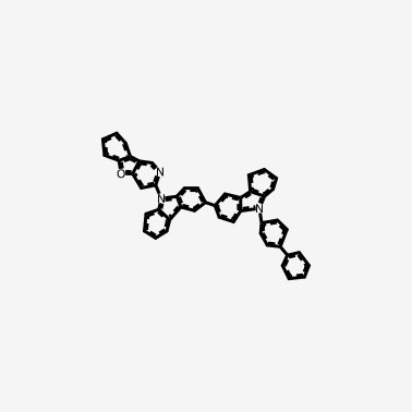 c1ccc(-c2ccc(-n3c4ccccc4c4cc(-c5ccc6c(c5)c5ccccc5n6-c5cc6oc7ccccc7c6cn5)ccc43)cc2)cc1